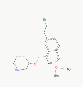 BrCCc1ccc2cccc(COC3CCCNC3)c2c1.CC(C)(C)OC=O